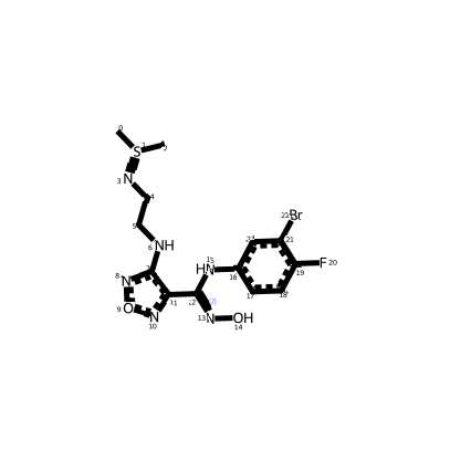 CS(C)=NCCNc1nonc1/C(=N/O)Nc1ccc(F)c(Br)c1